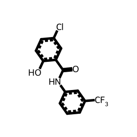 O=C(Nc1cccc(C(F)(F)F)c1)c1cc(Cl)ccc1O